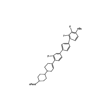 CCCCCC1CCC(C2CC=C(c3ccc(-c4ccc(-c5ccc(CCCC)c(F)c5F)cc4)cc3F)CC2)CC1